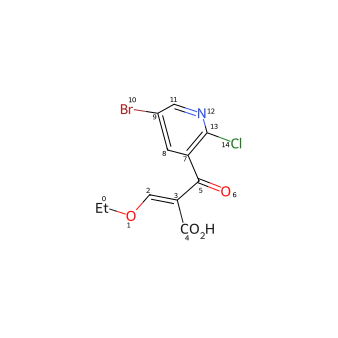 CCOC=C(C(=O)O)C(=O)c1cc(Br)cnc1Cl